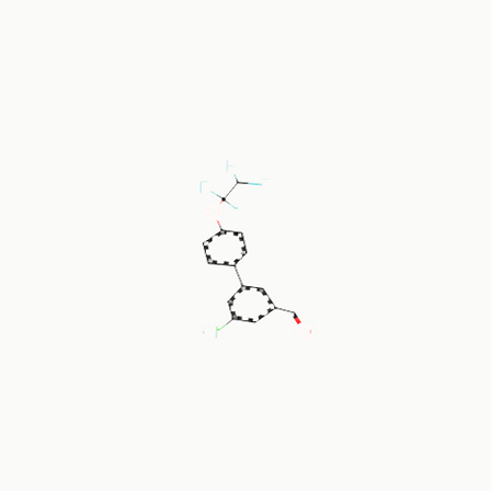 O=Cc1cc(Cl)cc(-c2ccc(OC(F)(F)C(F)F)cc2)c1